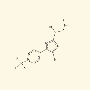 [CH2]C([CH2])CC(Br)c1nc(-c2ccc(C(F)(F)F)cc2)c(Br)o1